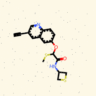 C#Cc1cnc2ccc(OC(SC)C(=O)NC3CSC3)cc2c1